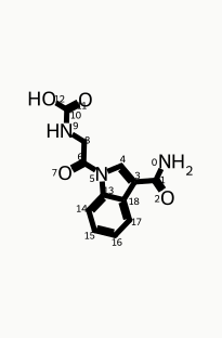 NC(=O)c1cn(C(=O)CNC(=O)O)c2ccccc12